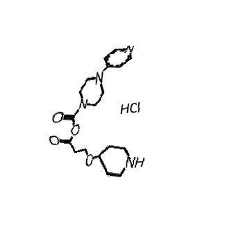 Cl.O=C(CCOC1CCNCC1)OC(=O)N1CCN(c2ccncc2)CC1